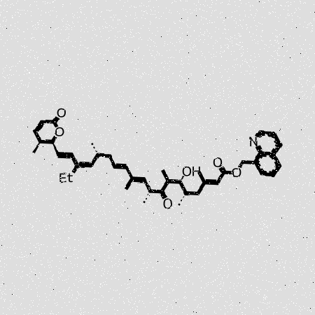 CCC(=C/[C@H](C)C/C=C/C(C)=C/[C@@H](C)C(=O)C(C)[C@H](O)[C@@H](C)C/C(C)=C/C(=O)OCc1cccc2cccnc12)/C=C/[C@@H]1OC(=O)C=C[C@@H]1C